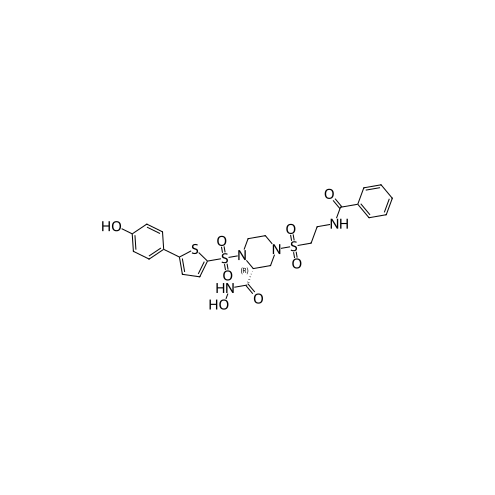 O=C(NCCS(=O)(=O)N1CCN(S(=O)(=O)c2ccc(-c3ccc(O)cc3)s2)[C@@H](C(=O)NO)C1)c1ccccc1